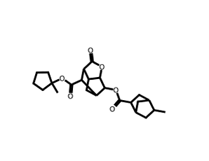 CC1CC2CC1CC2C(=O)OC1C2CC3C1OC(=O)C3C2C(=O)OC1(C)CCCC1